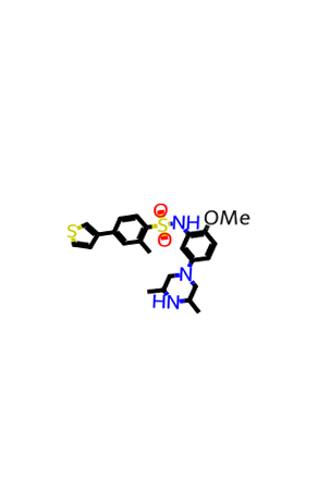 COc1ccc(N2CC(C)NC(C)C2)cc1NS(=O)(=O)c1ccc(-c2ccsc2)cc1C